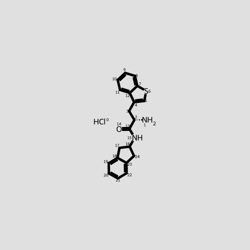 Cl.N[C@@H](Cc1csc2ccccc12)C(=O)NC1Cc2ccccc2C1